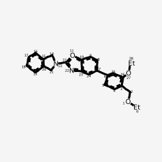 CCOCc1ccc(-c2ccc3oc(N4Cc5ccccc5C4)nc3c2)cc1OCC